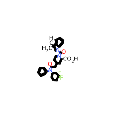 CC1(C)CN(C(=O)N2CCC(CC(=O)N(c3ccccc3)C3CCCC(F)(F)C3)CC2C(=O)O)c2ccccc21